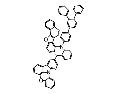 C[C@@H](c1ccc2c(c1)c1cccc3c1n2-c1ccccc1O3)c1ccccc1N(c1ccc(-c2ccc(-c3ccccc3)c(-c3ccccc3)c2)cc1)c1cccc2oc3c4ccccc4ccc3c12